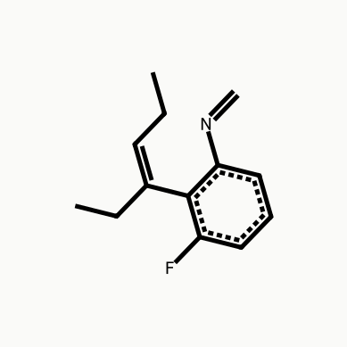 C=Nc1cccc(F)c1/C(=C\CC)CC